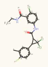 Cc1cc(C2C(C(=O)Nc3ccc(Cl)c(C(=O)NCC(F)(F)F)c3)C2(Cl)Cl)ccc1F